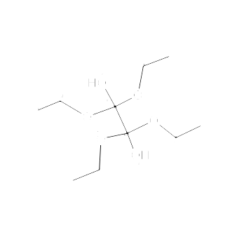 CCOC(O)(OCC)C(O)(OCC)OCC